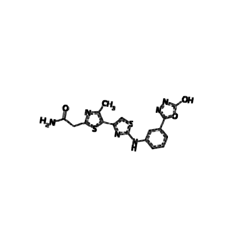 Cc1nc(CC(N)=O)sc1-c1csc(Nc2cccc(-c3nnc(O)o3)c2)n1